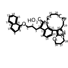 O=C(O)c1c(CCCOc2cccc3ccccc23)c2cccc3c2n1CCCCOCc1nn2c(c1-3)OCCC2